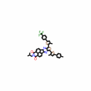 Cc1ccc(-c2cc(C)c(-c3sc(-c4sc(-c5ccc(C(F)(F)F)cc5)cc4C)c4nc5c(nc34)-c3ccc4c6c(ccc-5c36)C(=O)N(CC(C)C)C4=O)s2)cc1